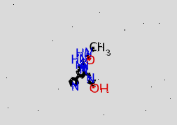 CCNC(=O)Nc1nc2cc(-c3cccnc3)cc(CN3CC(O)C3)n2n1